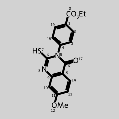 CCOC(=O)c1ccc(-n2c(S)nc3cc(OC)ccc3c2=O)cc1